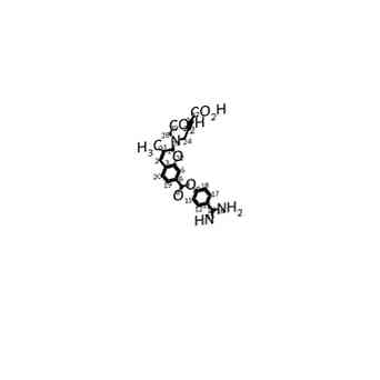 CC(=Cc1ccc(C(=O)Oc2ccc(C(=N)N)cc2)cc1)C(=O)N(CC#CC(=O)O)CC(=O)O